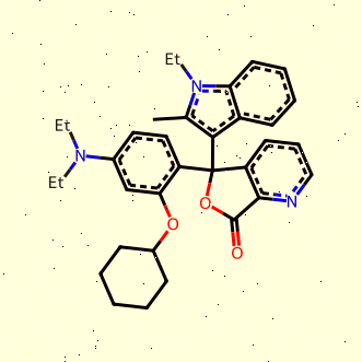 CCN(CC)c1ccc(C2(c3c(C)n(CC)c4ccccc34)OC(=O)c3ncccc32)c(OC2CCCCC2)c1